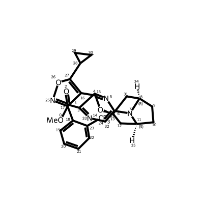 COC(=O)c1cnc(N2[C@@H]3CC[C@H]2C[C@@H](OCc2c(-c4ccccc4C(F)(F)F)noc2C2CC2)C3)cn1